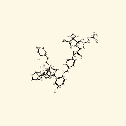 C[C@@H]1CNCCN1CCOc1cc(N2C3CCC2CN(c2cc(-c4cc(F)ccc4OCc4ccc(NC(=O)[C@H](CCCNC(N)=O)NC(=O)C5(C(=O)O)CCC5)cc4)nnc2N)C3)ccn1